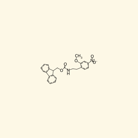 COc1cc([N+](=O)[O-])ccc1CCNC(=O)OCC1c2ccccc2-c2ccccc21